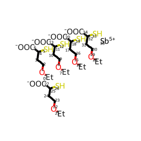 CCOCCC(S)C(=O)[O-].CCOCCC(S)C(=O)[O-].CCOCCC(S)C(=O)[O-].CCOCCC(S)C(=O)[O-].CCOCCC(S)C(=O)[O-].[Sb+5]